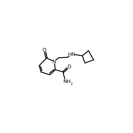 NC(=O)c1cccc(=O)n1CCNC1CCC1